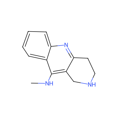 CNc1c2c(nc3ccccc13)CCNC2